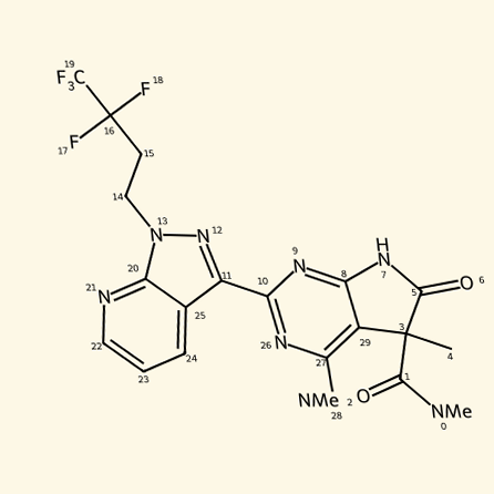 CNC(=O)C1(C)C(=O)Nc2nc(-c3nn(CCC(F)(F)C(F)(F)F)c4ncccc34)nc(NC)c21